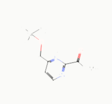 COC(=O)c1nccc(CO[Si](C)(C)C(C)(C)C)n1